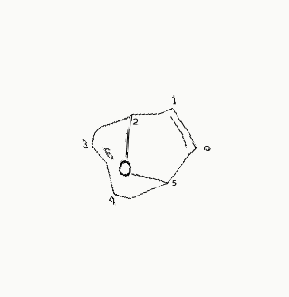 C1=CC2CCC1O2